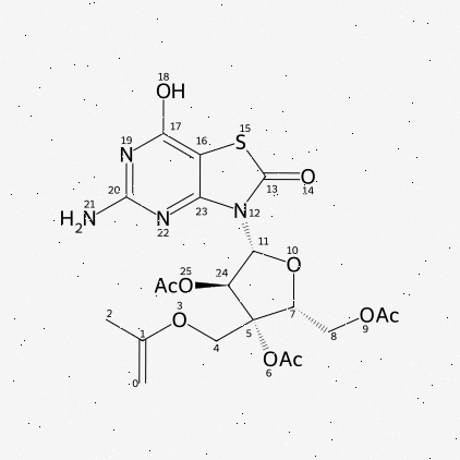 C=C(C)OC[C@]1(OC(C)=O)[C@@H](COC(C)=O)O[C@@H](n2c(=O)sc3c(O)nc(N)nc32)[C@@H]1OC(C)=O